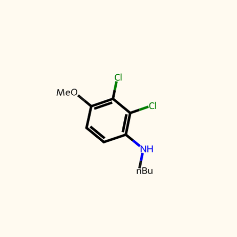 CCCCNc1ccc(OC)c(Cl)c1Cl